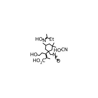 CC(C(=O)O)=C(CCO)C1(CN=C=O)CC(C)CC(C)(C)C1.CCC(C)=NO.N#CO